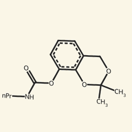 CCCNC(=O)Oc1cccc2c1OC(C)(C)OC2